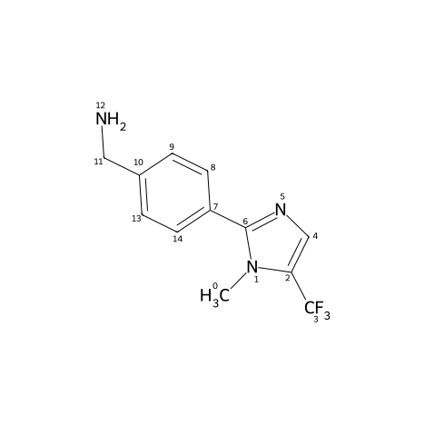 Cn1c(C(F)(F)F)cnc1-c1ccc(CN)cc1